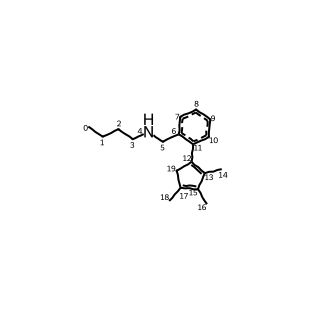 CCCCNCc1ccccc1C1=C(C)C(C)=C(C)C1